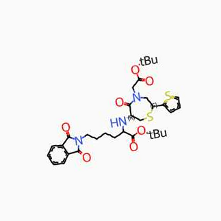 CC(C)(C)OC(=O)CN1C[C@@H](c2cccs2)SC[C@H](NC(CCCCN2C(=O)c3ccccc3C2=O)C(=O)OC(C)(C)C)C1=O